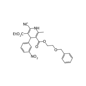 CCOC(=O)C1=C(C#N)NC(C)=C(C(=O)OCCOCc2ccccc2)C1c1cccc([N+](=O)[O-])c1